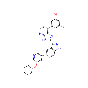 Oc1cc(F)cc(-c2ccnc3[nH]c(-c4n[nH]c5ccc(-c6cncc(OC7CCCCC7)c6)cc45)nc23)c1